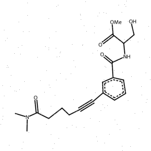 COC(=O)C(CO)NC(=O)c1cccc(C#CCCCC(=O)N(C)C)c1